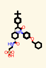 CC(C)(C)c1ccc(C(C[C@H]2CC[C@@H](C(=O)NCCS(=O)(=O)O)CC2)C(=O)Nc2ccc(OCC3CCCCC3)cc2)cc1